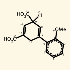 COc1ccccc1C1=CC(Cl)(C(=O)O)C=C(C(=O)O)C1